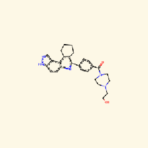 O=C(c1ccc(-c2nc3ccc4[nH]ncc4c3c3c2CCCC3)cc1)N1CCN(CCO)CC1